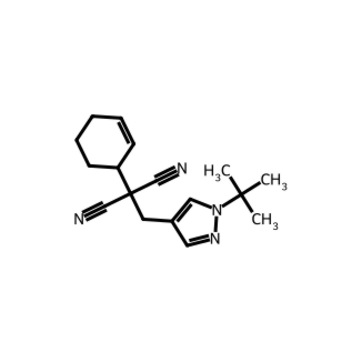 CC(C)(C)n1cc(CC(C#N)(C#N)C2C=CCCC2)cn1